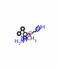 Cc1nc(N)nc2c1C(=NOCCCN1CCNCC1)CC(c1ccccc1-c1ccccc1)C2